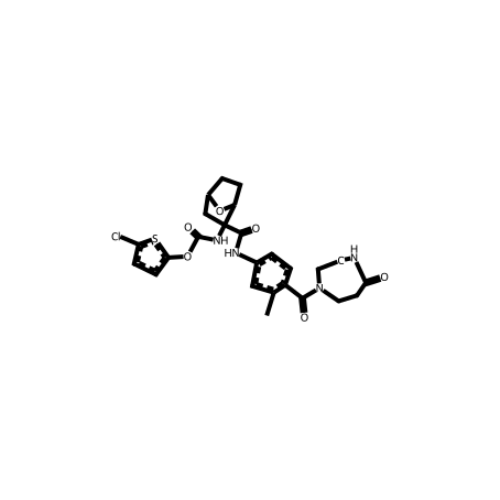 Cc1cc(NC(=O)C2(NC(=O)Oc3ccc(Cl)s3)CC3CCC2O3)ccc1C(=O)N1CCNC(=O)CC1